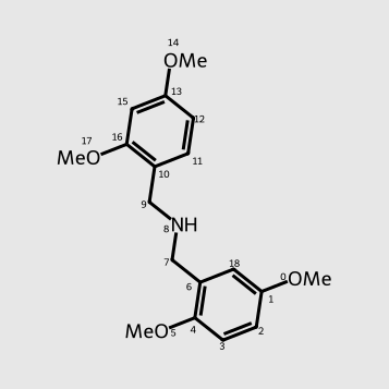 COc1ccc(OC)c(CNCc2ccc(OC)cc2OC)c1